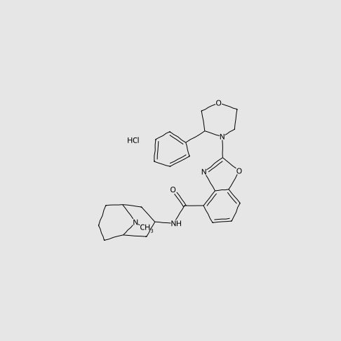 CN1C2CCCC1CC(NC(=O)c1cccc3oc(N4CCOCC4c4ccccc4)nc13)C2.Cl